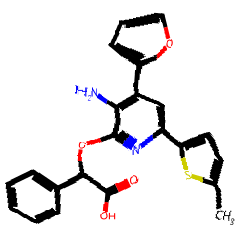 Cc1ccc(-c2cc(-c3ccco3)c(N)c(OC(C(=O)O)c3ccccc3)n2)s1